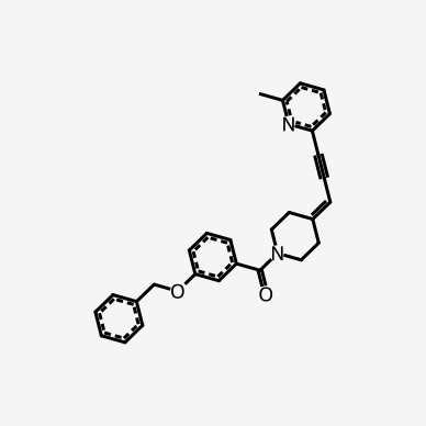 Cc1cccc(C#CC=C2CCN(C(=O)c3cccc(OCc4ccccc4)c3)CC2)n1